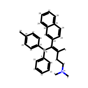 C/C(CCN(C)C)=C(/B(c1ccccc1)c1ccc(C)cc1)c1ccc2ccccc2c1